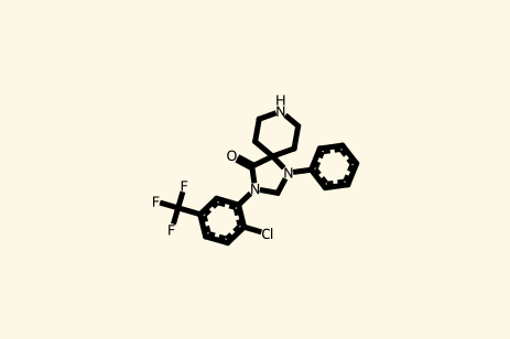 O=C1N(c2cc(C(F)(F)F)ccc2Cl)CN(c2ccccc2)C12CCNCC2